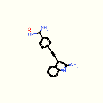 Nc1cc(C#Cc2ccc(C(N)NO)cc2)c2ccccc2n1